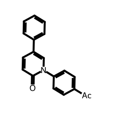 CC(=O)c1ccc(-n2cc(-c3ccccc3)ccc2=O)cc1